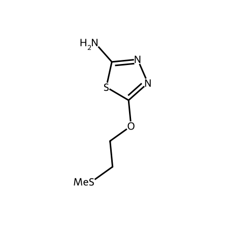 CSCCOc1nnc(N)s1